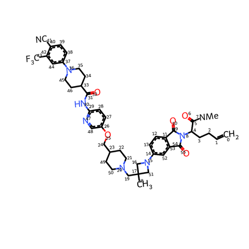 C=CCCC(C(=O)NC)N1C(=O)c2ccc(N3CC(C)(CN4CCC(COc5ccc(NC(=O)C6CCN(c7ccc(C#N)c(C(F)(F)F)c7)CC6)nc5)CC4)C3)cc2C1=O